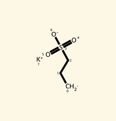 [CH2]CCS(=O)(=O)[O-].[K+]